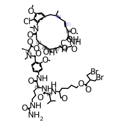 COc1cc(NC(=O)[C@H](CCCNC(N)=O)NC(=O)[C@@H](NC(C=O)CCCCOC(=O)C(CBr)CBr)C(C)C)ccc1C(=O)N(C)[C@@H](C)C(=O)O[C@H]1CC(=O)N(C)c2cc(cc(OC)c2Cl)C/C(C)=C/C=C/[C@@H](OC)[C@@]2(O)C[C@H](OC(=O)N2)[C@@H](C)[C@@H]2O[C@@]12C